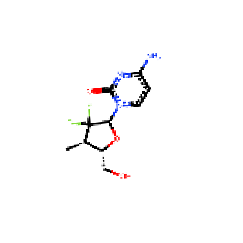 C[C@@H]1[C@@H](CO)OC(n2ccc(N)nc2=O)C1(F)F